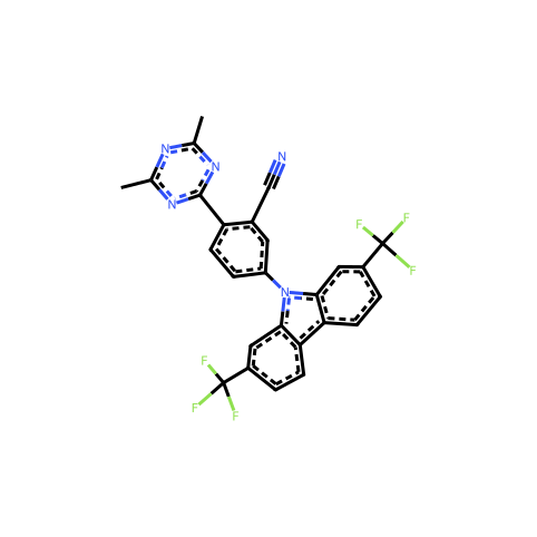 Cc1nc(C)nc(-c2ccc(-n3c4cc(C(F)(F)F)ccc4c4ccc(C(F)(F)F)cc43)cc2C#N)n1